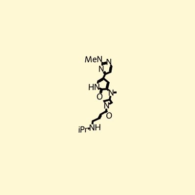 CNc1nccc(-c2c[nH]c(=O)c(N(C)C3CN(C(=O)C=CCNC(C)C)C3)c2)n1